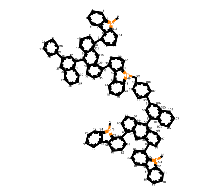 Cp1c2ccccc2c2c(-c3cccc4c(-c5cc(-c6ccccc6)cc6ccccc56)c5cccc(-c6cccc7c6c6ccccc6p7Cc6ccc(-c7cc(-c8c9cccc(-c%10cccc%11c%12ccccc%12p(C)c%10%11)c9cc9c(-c%10cccc%11c%12ccccc%12p(C)c%10%11)cccc89)c8ccccc8c7)cc6)c5cc34)cccc21